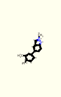 Cc1cc(-c2ccc3nn(C)cc3c2)ccc1C(C)C